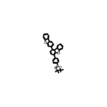 CC1(C)OB(c2ccc(-c3ccc(-c4ccc5c(c4)oc4ccccc45)c4c3oc3ccccc34)cc2)OC1(C)C